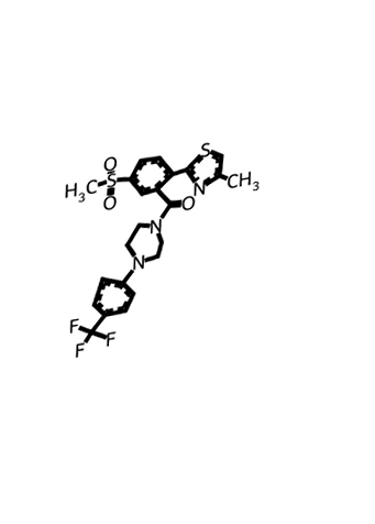 Cc1csc(-c2ccc(S(C)(=O)=O)cc2C(=O)N2CCN(c3ccc(C(F)(F)F)cc3)CC2)n1